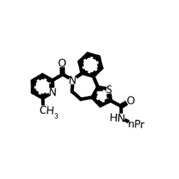 CCCNC(=O)c1cc2c(s1)-c1ccccc1N(C(=O)c1cccc(C)n1)CC2